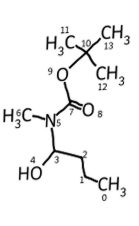 CCCC(O)N(C)C(=O)OC(C)(C)C